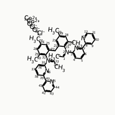 CC=[N+](c1cccc(-c2ccccn2)n1)c1c(C)cc(C)cc1Cc1cc(C)cc(C)c1[N+](=CC)c1cccc(-c2ccccn2)n1.[Cl-].[Cl-].[Cl-].[Cl-].[Co+2].[Co+2]